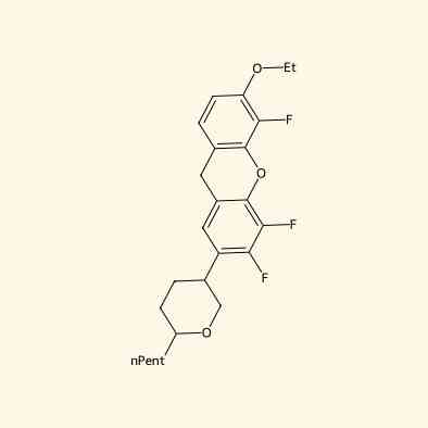 CCCCCC1CCC(c2cc3c(c(F)c2F)Oc2c(ccc(OCC)c2F)C3)CO1